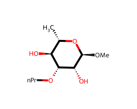 CCCO[C@@H]1[C@@H](O)[C@H](C)O[C@@H](OC)[C@@H]1O